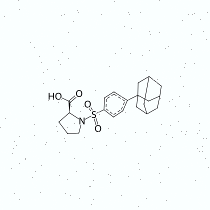 O=C(O)[C@@H]1CCCN1S(=O)(=O)c1ccc(C23CC4CC(CC(C4)C2)C3)cc1